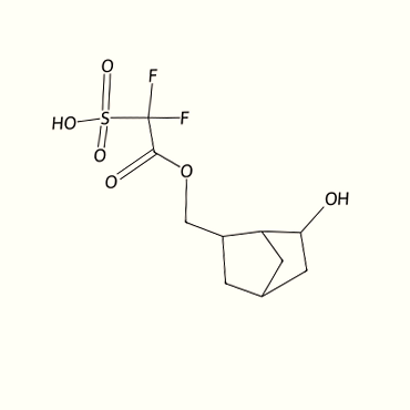 O=C(OCC1CC2CC(O)C1C2)C(F)(F)S(=O)(=O)O